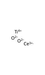 [Ce+3].[O-2].[O-2].[Ti+4]